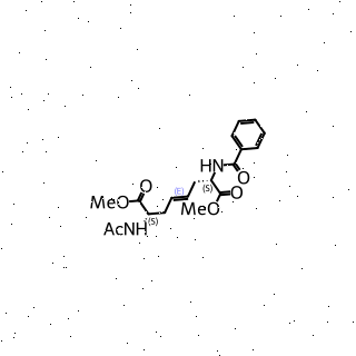 COC(=O)[C@H](C/C=C/C[C@H](NC(=O)c1ccccc1)C(=O)OC)NC(C)=O